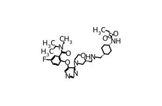 CCN(C(=O)c1cc(F)ccc1Oc1cncnc1N1CCO[C@@H](CNC[C@H]2CC[C@H](NS(=O)(=O)CC)CC2)C1)C(C)C